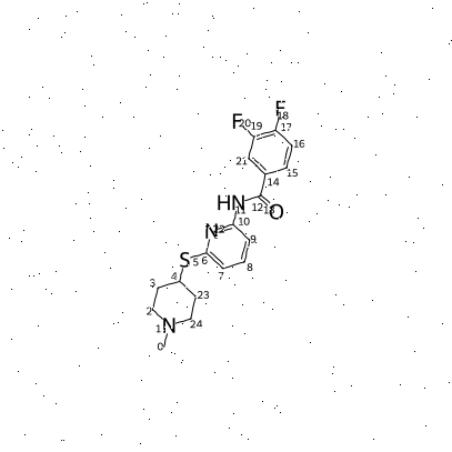 CN1CCC(Sc2cccc(NC(=O)c3ccc(F)c(F)c3)n2)CC1